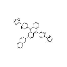 c1ccc2cc(-c3ccc4c(-c5ccc(-c6ncco6)nc5)c5ccccc5c(-c5ccc(-c6ncco6)nc5)c4c3)ccc2c1